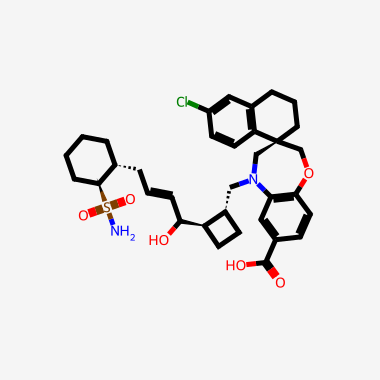 NS(=O)(=O)[C@H]1CCCC[C@@H]1C/C=C/C(O)[C@@H]1CC[C@H]1CN1C[C@@]2(CCCc3cc(Cl)ccc32)COc2ccc(C(=O)O)cc21